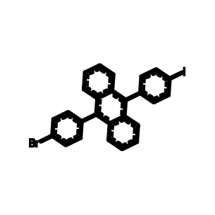 Brc1ccc(-c2c3ccccc3c(-c3ccc(I)cc3)c3ccccc23)cc1